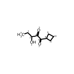 CCC(O)C(=O)C(=O)C1CCC1